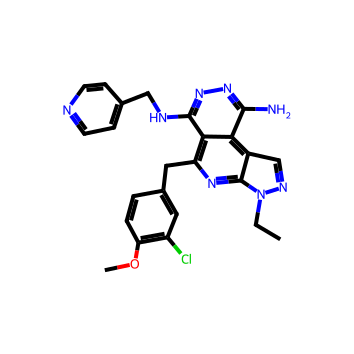 CCn1ncc2c3c(N)nnc(NCc4ccncc4)c3c(Cc3ccc(OC)c(Cl)c3)nc21